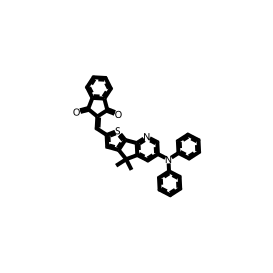 CC1(C)c2cc(N(c3ccccc3)c3ccccc3)cnc2-c2sc(C=C3C(=O)c4ccccc4C3=O)cc21